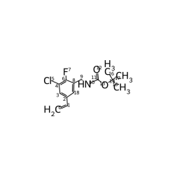 C=Cc1cc(Cl)c(F)c(CNC(=O)OC(C)(C)C)c1